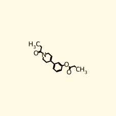 CCC(=O)Oc1cccc(C2=CCN(C(=O)CC)CC2)c1